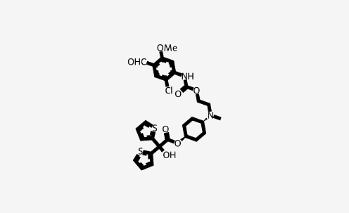 COc1cc(NC(=O)OCCN(C)[C@H]2CC[C@H](OC(=O)C(O)(c3cccs3)c3cccs3)CC2)c(Cl)cc1C=O